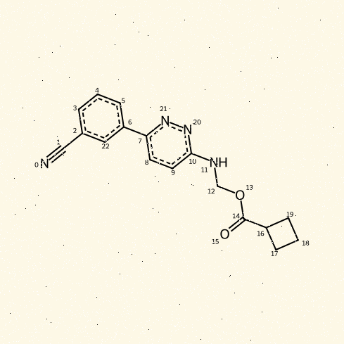 N#Cc1cccc(-c2ccc(NCOC(=O)C3CCC3)nn2)c1